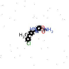 C=C(c1ccc(Cl)cc1)c1ccc(-c2nc3cc(OC(N)=O)ccc3[nH]2)cc1